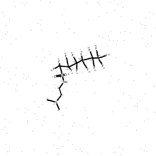 CN(C)CCNS(=O)(=O)C(F)(F)C(F)(F)C(F)(F)C(F)(F)C(F)(F)C(F)(F)F